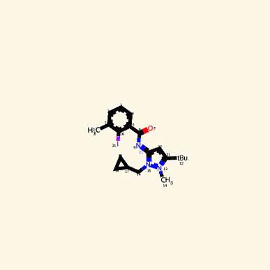 Cc1cccc(C(=O)/N=c2\cc(C(C)(C)C)n(C)n2CC2CC2)c1I